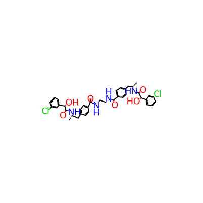 C[C@H](Cc1ccc(C(=O)NCCNC(=O)c2ccc(C[C@@H](C)NC(=O)[C@H](O)c3cccc(Cl)c3)cc2)cc1)NC(=O)[C@H](O)c1cccc(Cl)c1